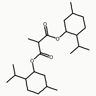 CC1CCC(C(C)C)C(OC(=O)C(C)C(=O)OC2CC(C)CCC2C(C)C)C1